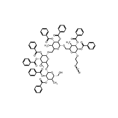 C[C@H]1[C@H](OC(=O)c2ccccc2)[C@@H](OC(=O)c2ccccc2)[C@H](OCC2O[C@@H](OCC3O[C@@H](OCC4O[C@@H](OCCN=[N+]=[N-])[C@H](OC(=O)c5ccccc5)[C@@H](OC(=O)c5ccccc5)[C@@H]4C)[C@H](OC(=O)c4ccccc4)[C@@H](OC(=O)c4ccccc4)[C@@H]3C)[C@H](OC(=O)c3ccccc3)[C@@H](OC(=O)c3ccccc3)[C@@H]2C)O[C@@H]1CO